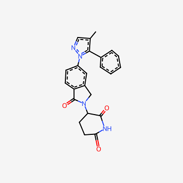 Cc1cnn(-c2ccc3c(c2)CN(C2CCC(=O)NC2=O)C3=O)c1-c1ccccc1